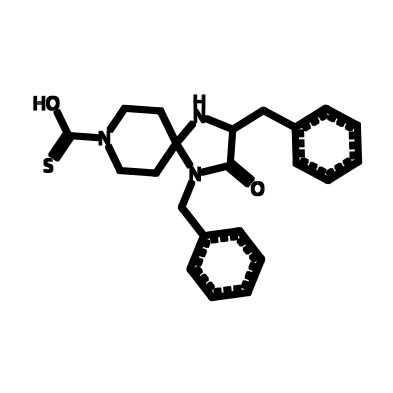 O=C1C(Cc2ccccc2)NC2(CCN(C(O)=S)CC2)N1Cc1ccccc1